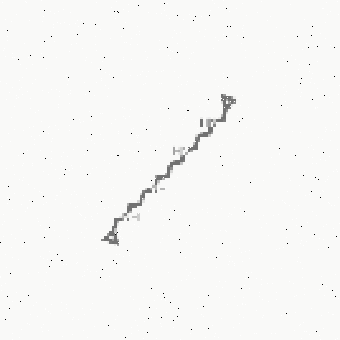 C(CCNCCCNCC1CC1)CNCCCNCC1CC1